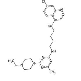 CCN1CCN(c2nc(C)cc(NCCCCNc3ccnc4cc(Cl)ccc34)n2)CC1